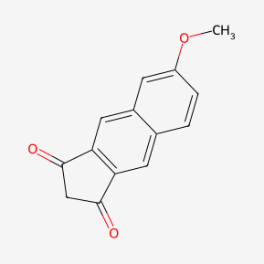 COc1ccc2cc3c(cc2c1)C(=O)CC3=O